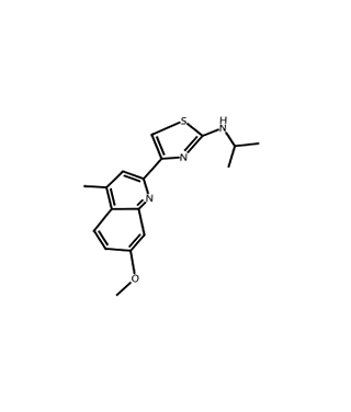 COc1ccc2c(C)cc(-c3csc(NC(C)C)n3)nc2c1